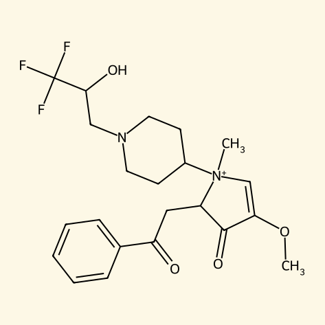 COC1=C[N+](C)(C2CCN(CC(O)C(F)(F)F)CC2)C(CC(=O)c2ccccc2)C1=O